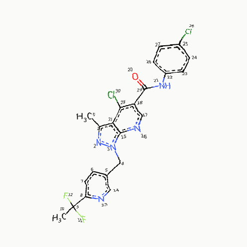 Cc1nn(Cc2ccc(C(C)(F)F)nc2)c2ncc(C(=O)Nc3ccc(Cl)cc3)c(Cl)c12